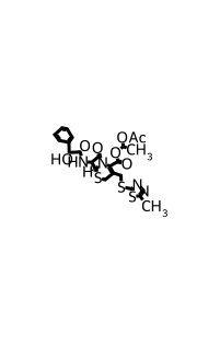 CC(=O)OC(C)OC(=O)C1=C(CSc2nnc(C)s2)CS[C@H]2C(NC(=O)C(O)c3ccccc3)C(=O)N12